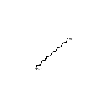 CCCCCC=CCC=CCCCCCCC[N]C